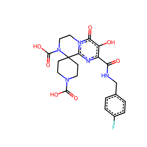 O=C(NCc1ccc(F)cc1)c1nc2n(c(=O)c1O)CCN(C(=O)O)C21CCN(C(=O)O)CC1